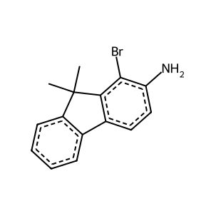 CC1(C)c2ccccc2-c2ccc(N)c(Br)c21